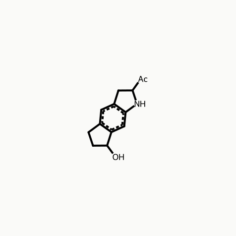 CC(=O)C1Cc2cc3c(cc2N1)C(O)CC3